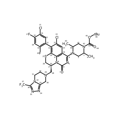 CC1CN(c2nc(=O)n3c4c(c(-c5cc(Cl)c(F)cc5F)c(Cl)cc24)SC[C@@H]3CN2CCn3c(nnc3C(F)(F)F)C2)C(C)CN1C(=O)OC(C)(C)C